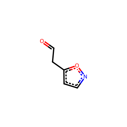 O=CCc1ccno1